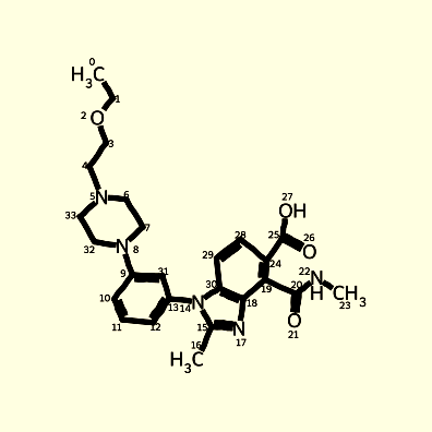 CCOCCN1CCN(c2cccc(-n3c(C)nc4c(C(=O)NC)c(C(=O)O)ccc43)c2)CC1